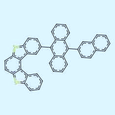 c1ccc2cc(-c3c4ccccc4c(-c4ccc5sc6ccc7sc8ccccc8c7c6c5c4)c4ccccc34)ccc2c1